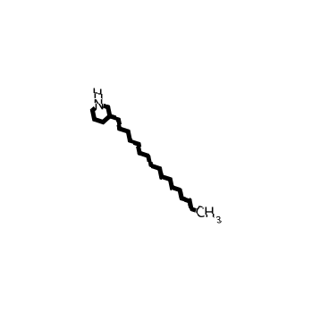 CCCCCCCCCCCCCCCCCC1CCCNC1